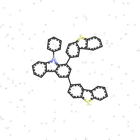 c1ccc(-n2c3ccccc3c3cc(-c4ccc5sc6ccccc6c5c4)cc(-c4ccc5sc6ccccc6c5c4)c32)cc1